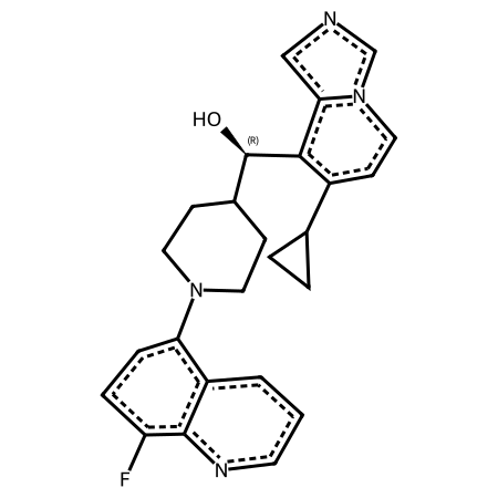 O[C@@H](c1c(C2CC2)ccn2cncc12)C1CCN(c2ccc(F)c3ncccc23)CC1